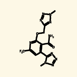 Cn1nnc(COc2nc(C(F)(F)F)cc(-c3nnnn3C)c2C(N)=O)n1